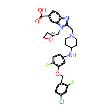 O=C(O)c1ccc2nc(CN3CCC(Nc4ccc(F)c(OCc5ccc(Cl)cc5F)c4)CC3)n(C[C@@H]3CCO3)c2c1